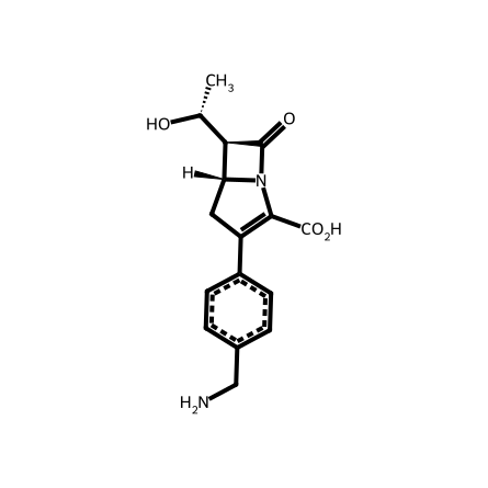 C[C@@H](O)[C@H]1C(=O)N2C(C(=O)O)=C(c3ccc(CN)cc3)C[C@H]12